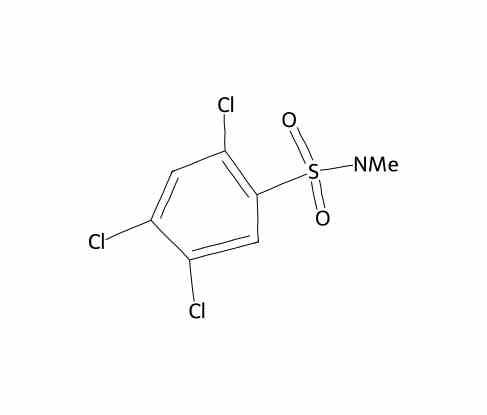 [CH2]NS(=O)(=O)c1cc(Cl)c(Cl)cc1Cl